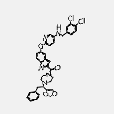 Cn1c(C(=O)N2CCN(C(Cc3ccccc3)C3=COCO3)CC2)cc2cc(Oc3ccc(NCc4ccc(Cl)c(Cl)c4)cn3)ccc21